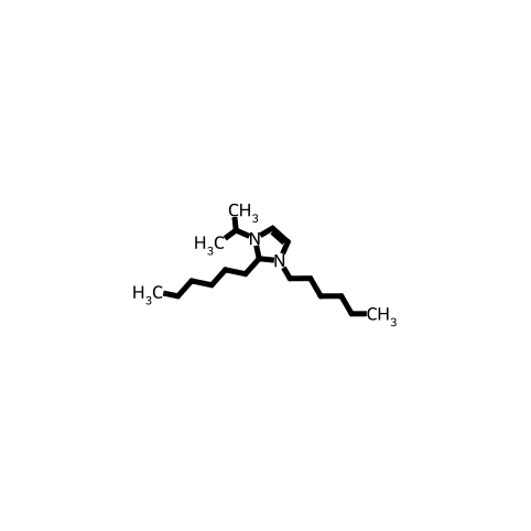 CCCCCCC1N(CCCCCC)C=CN1C(C)C